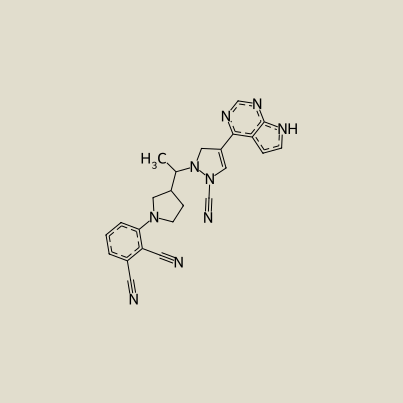 CC(C1CCN(c2cccc(C#N)c2C#N)C1)N1CC(c2ncnc3[nH]ccc23)=CN1C#N